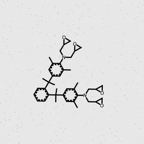 Cc1cc(C(C)(C)c2ccccc2C(C)(C)c2cc(C)c(N(CC3CO3)CC3CO3)c(C)c2)cc(C)c1N(CC1CO1)CC1CO1